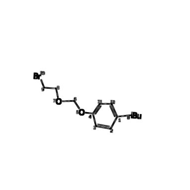 CCC(C)c1ccc(OCOCCBr)cc1